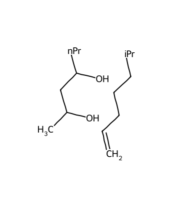 C=CCCCC(C)C.CCCC(O)CC(C)O